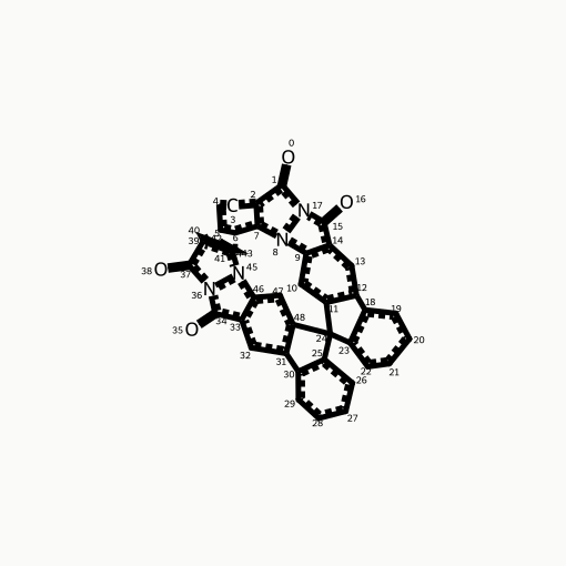 O=c1c2ccccc2n2c3cc4c(cc3c(=O)n12)-c1ccccc1C41c2ccccc2-c2cc3c(=O)n4c(=O)c5ccccc5n4c3cc21